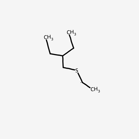 C[CH]SCC(CC)CC